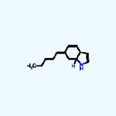 CCCC/C=C1/C=CC2C=CN[C@@H]2C1